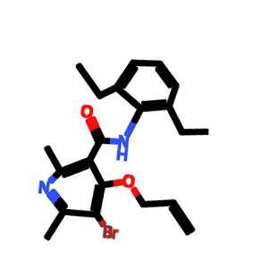 C=CCOc1c(Br)c(C)nc(C)c1C(=O)Nc1c(CC)cccc1CC